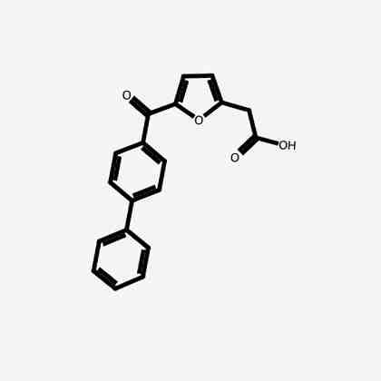 O=C(O)Cc1ccc(C(=O)c2ccc(-c3ccccc3)cc2)o1